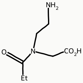 CCC(=O)N(CCN)CC(=O)O